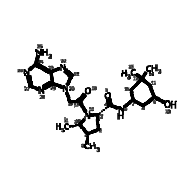 C[C@@H]1C[C@@H](C(=O)NC2CC(O)CC(C)(C)C2)N(C(=O)Cn2cnc3c(N)ncnc32)[C@@H]1C